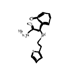 Br.NC(=O)C(NCCc1cccs1)c1ccccc1Cl